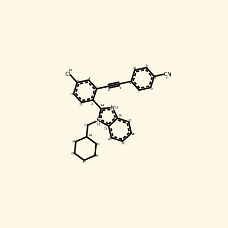 N#Cc1ccc(C#Cc2cc(Cl)ccc2-c2nc3ccccc3n2CC2CCCCC2)cc1